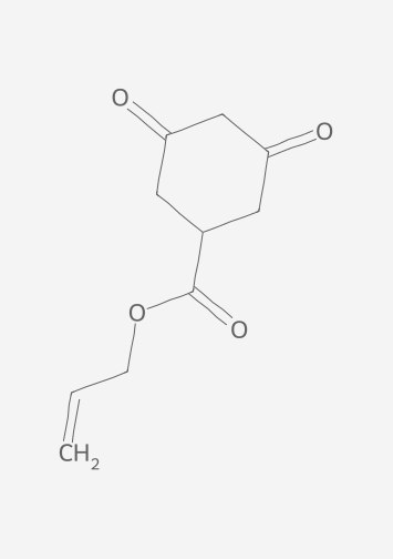 C=CCOC(=O)C1CC(=O)CC(=O)C1